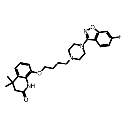 CC1(C)CC(=O)Nc2c(OCCCCN3CCN(c4noc5cc(F)ccc45)CC3)cccc21